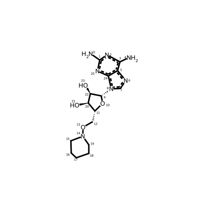 Nc1nc(N)c2ncn([C@@H]3O[C@H](CON4CCCCC4)[C@@H](O)[C@H]3O)c2n1